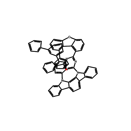 c1ccc(-c2cccc(-c3ccc(-n4c5ccccc5c5ccc6c7ccccc7n(-c7nc(-c8ccccc8)nc(-c8cccc9oc%10cccc(-c%11ccccc%11)c%10c89)n7)c6c54)cc3)c2)cc1